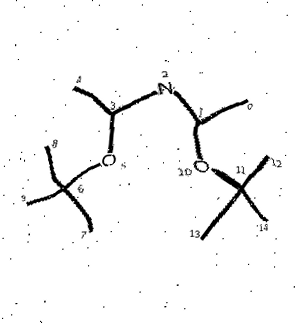 CC([N]C(C)OC(C)(C)C)OC(C)(C)C